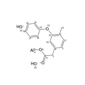 Cc1ccc(CC(=O)[O][Al+2])cc1Oc1ccccc1.[OH-].[OH-]